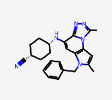 Cc1cc2c(cc(N[C@H]3CC[C@@H](C#N)CC3)c3nnc(C)n32)n1Cc1ccccc1